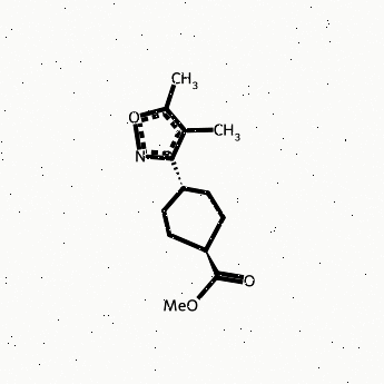 COC(=O)[C@H]1CC[C@H](c2noc(C)c2C)CC1